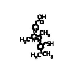 Cc1cc(N2CCC(CC(=O)O)CC2)c2c(C)cn(-c3ccc(C(C)C)cc3CS)c2n1